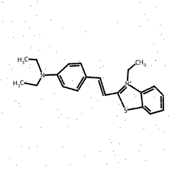 CCN(CC)c1ccc(/C=C/c2sc3ccccc3[n+]2CC)cc1